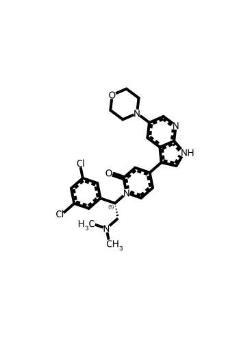 CN(C)C[C@H](c1cc(Cl)cc(Cl)c1)n1ccc(-c2c[nH]c3ncc(N4CCOCC4)cc23)cc1=O